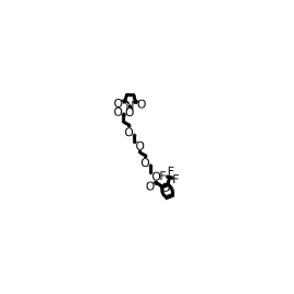 O=C(CCOCCOCCOCCOC(=O)C1=C(C(F)(F)F)C2C=CC1O2)ON1C(=O)CCC1=O